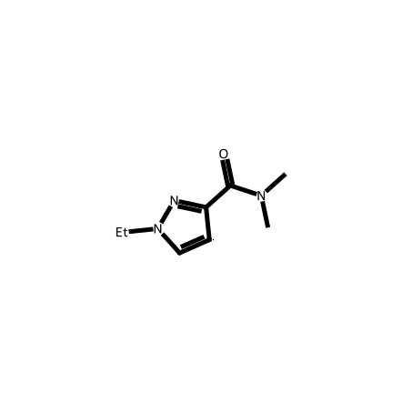 CCn1c[c]c(C(=O)N(C)C)n1